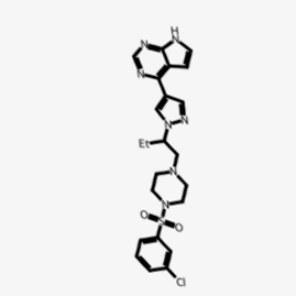 CCC(CN1CCN(S(=O)(=O)c2cccc(Cl)c2)CC1)n1cc(-c2ncnc3[nH]ccc23)cn1